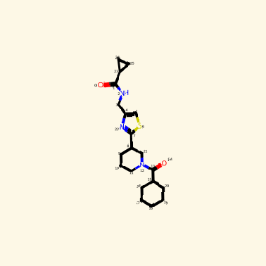 O=C(NCc1csc(C2CCCN(C(=O)C3CCCCC3)C2)n1)C1CC1